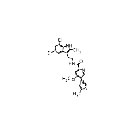 COc1cc(C(=O)NCCc2c(C)[nH]c3c(Cl)cc(Cl)cc23)ncc1-n1cnc(C)c1